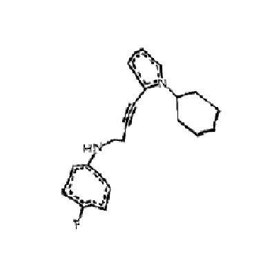 Fc1ccc(NCC#Cc2cccn2C2CCCCC2)cc1